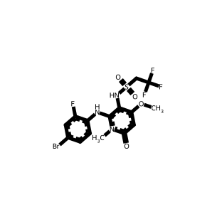 COc1cc(=O)n(C)c(Nc2ccc(Br)cc2F)c1NS(=O)(=O)CC(F)(F)F